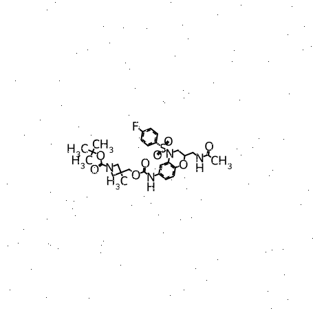 CC(=O)NCC1CN(S(=O)(=O)c2ccc(F)cc2)c2cc(NC(=O)OCC3(C)CN(C(=O)OC(C)(C)C)C3)ccc2O1